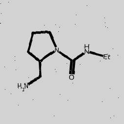 CCNC(=O)N1CCCC1CN